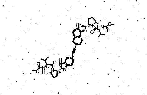 COC(=O)N[C@H](C(=O)N1[C@@H](C)CC[C@H]1c1nc2ccc(C#Cc3ccc4c(ccc5[nH]c([C@@H]6CC[C@H](C)N6C(=O)[C@@H](NC(=O)OC)C(C)C)nc54)c3)cc2[nH]1)C(C)C